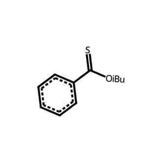 CC(C)COC(=S)c1ccccc1